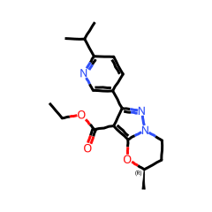 CCOC(=O)c1c(-c2ccc(C(C)C)nc2)nn2c1O[C@H](C)CC2